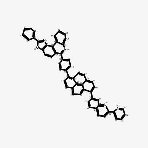 c1ccc(-c2nc3c(ccc4c(-c5ccc(-c6ccc7ccc8c(-c9ccc%10ccc(-c%11ccccn%11)nc%10c9)ccc9ccc6c7c98)cc5)nc5ccccc5c43)o2)cc1